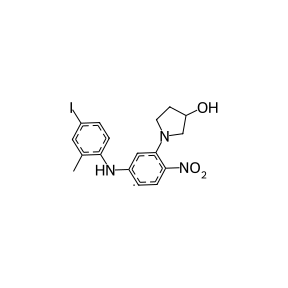 Cc1cc(I)ccc1Nc1[c]cc([N+](=O)[O-])c(N2CCC(O)C2)c1